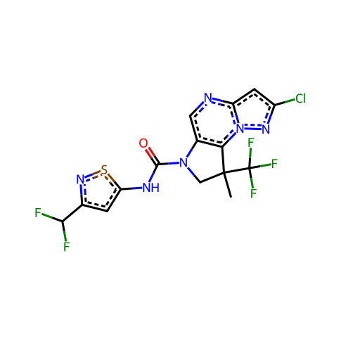 CC1(C(F)(F)F)CN(C(=O)Nc2cc(C(F)F)ns2)c2cnc3cc(Cl)nn3c21